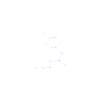 N=C(NC(N)=O)Nc1ccc(Br)cc1Cl